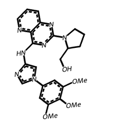 COc1cc(-n2cnc(Nc3nc(N4CCCC4CO)nc4cccnc34)c2)cc(OC)c1OC